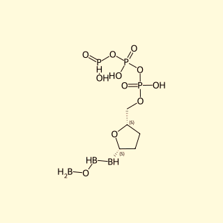 BOBB[C@H]1CC[C@@H](COP(=O)(O)OP(=O)(O)O[PH](=O)O)O1